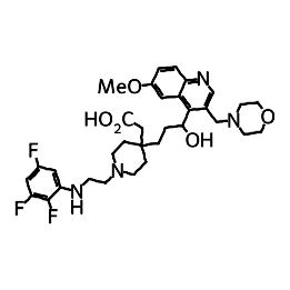 COc1ccc2ncc(CN3CCOCC3)c(C(O)CCC3(CC(=O)O)CCN(CCNc4cc(F)cc(F)c4F)CC3)c2c1